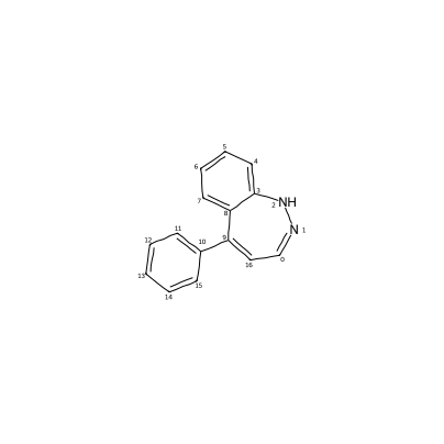 C1=NNc2ccccc2C(c2ccccc2)=C1